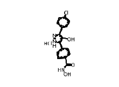 Cl.O=C(NO)c1ccc(-c2[nH]nc(-c3ccc(Cl)cc3)c2O)cc1